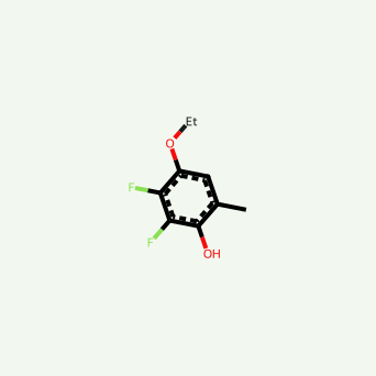 CCOc1cc(C)c(O)c(F)c1F